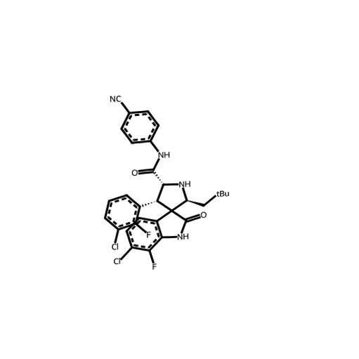 CC(C)(C)C[C@@H]1N[C@@H](C(=O)Nc2ccc(C#N)cc2)[C@@H](c2cccc(Cl)c2F)C12C(=O)Nc1c2ccc(Cl)c1F